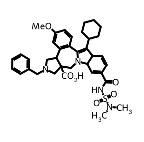 COc1ccc2c(c1)C1CN(Cc3ccccc3)CC1(C(=O)O)CN1C2=C(C2CCCCC2)C2C=CC(C(=O)NS(=O)(=O)N(C)C)=CC21